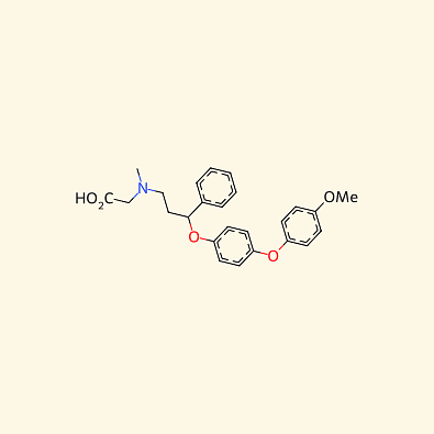 COc1ccc(Oc2ccc(OC(CCN(C)CC(=O)O)c3ccccc3)cc2)cc1